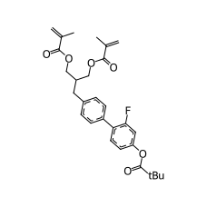 C=C(C)C(=O)OCC(COC(=O)C(=C)C)Cc1ccc(-c2ccc(OC(=O)C(C)(C)C)cc2F)cc1